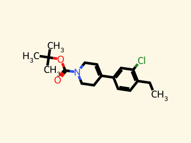 CCc1ccc(C2=CCN(C(=O)OC(C)(C)C)CC2)cc1Cl